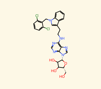 OC[C@H]1O[C@@H](n2cnc3c(NCCc4cn(Cc5c(Cl)cccc5Cl)c5ccccc45)ncnc32)C(O)C1O